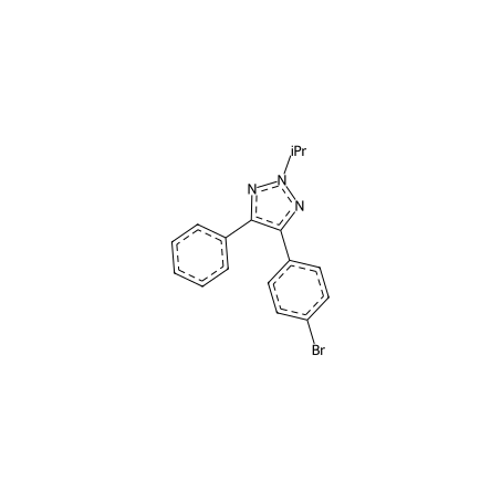 CC(C)n1nc(-c2ccccc2)c(-c2ccc(Br)cc2)n1